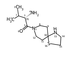 CC(C)[C@H](N)C(=O)N1CCC2(CC1)NCCS2